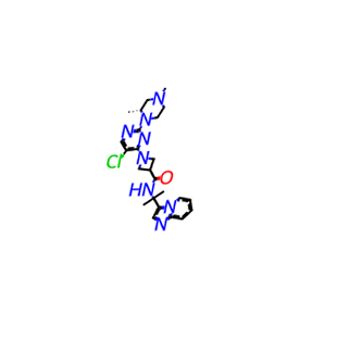 C[C@@H]1CN(C)CCN1c1ncc(Cl)c(N2CC(C(=O)NC(C)(C)c3cnc4ccccn34)C2)n1